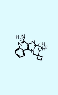 Cc1nc2c(N)nc3ccccc3c2n1CC1(O)CCC1